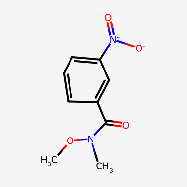 CON(C)C(=O)c1cccc([N+](=O)[O-])c1